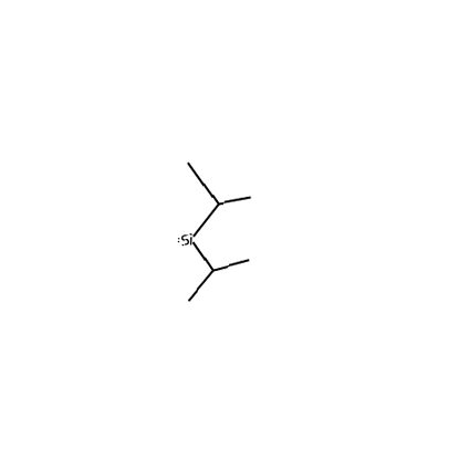 CC(C)[Si]C(C)C